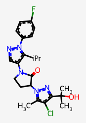 Cc1c(Cl)c(C(C)(C)O)nn1C1CCN(c2cnn(-c3ccc(F)cc3)c2C(C)C)C1=O